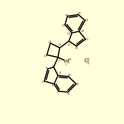 [Cl-].[Hf+][C]1(C2C=Cc3ccccc32)CCC1C1C=Cc2ccccc21